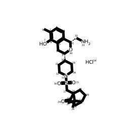 Cc1ccc2c(c1O)C[C@@H](C1CCN(S(=O)(=O)CC34CCC(CC3=O)C4(C)C)CC1)O[C@H]2CN.Cl